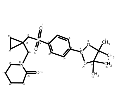 CC1(C)OB(c2ccc(S(=O)(=O)CC3(CN4CCCCC4=O)CC3)cc2)OC1(C)C